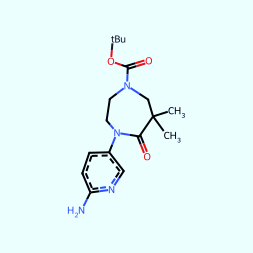 CC(C)(C)OC(=O)N1CCN(c2ccc(N)nc2)C(=O)C(C)(C)C1